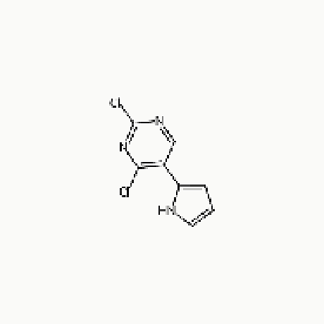 Clc1ncc(-c2ccc[nH]2)c(Cl)n1